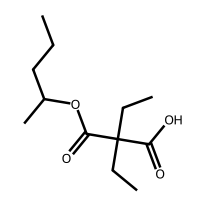 CCCC(C)OC(=O)C(CC)(CC)C(=O)O